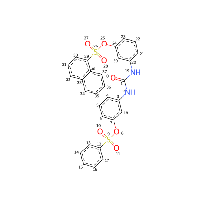 O=C(Nc1cccc(OS(=O)(=O)c2ccccc2)c1)Nc1cccc(OS(=O)(=O)c2cccc3ccccc23)c1